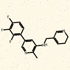 Cc1ncc(-c2ccc(F)c(F)c2F)cc1NCC1=CCCN=C1